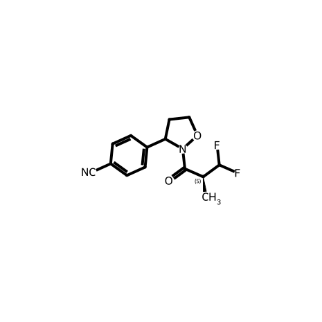 C[C@@H](C(=O)N1OCCC1c1ccc(C#N)cc1)C(F)F